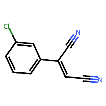 N#C/C=C(\C#N)c1cccc(Cl)c1